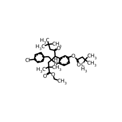 CCOC(=O)C(C)(C)CC1(Cc2ccc(Cl)cc2)Nc2ccc(OC(=O)CC(C)(C)C)cc2C1C(=O)CC(C)(C)C